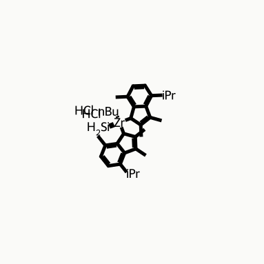 CCC[CH2][Zr](=[SiH2])([CH]1C(C)=C(C)c2c(C(C)C)ccc(C)c21)[CH]1C(C)=C(C)c2c(C(C)C)ccc(C)c21.Cl.Cl